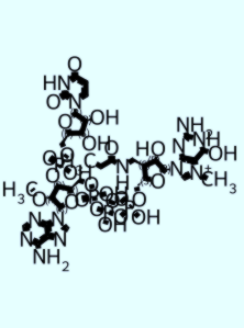 CCC(=O)NC[C@H]1[C@@H](O)[C@H](n2c[n+](C)c3c2N=C(N)NC3O)O[C@@H]1COP(=O)(O)OP(=O)(O)OP(=O)(O)OC[C@H]1O[C@@H](n2cnc3c(N)ncnc32)[C@H](OC)[C@@H]1OP(=O)(O)OC[C@H]1O[C@@H](n2ccc(=O)[nH]c2=O)[C@H](O)[C@@H]1O